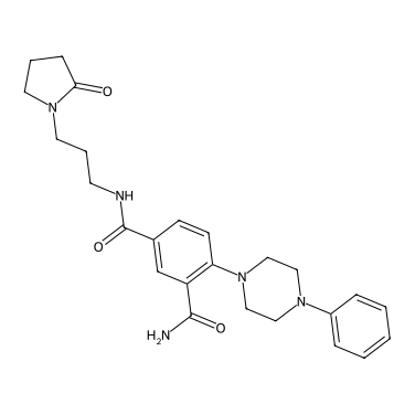 NC(=O)c1cc(C(=O)NCCCN2CCCC2=O)ccc1N1CCN(c2ccccc2)CC1